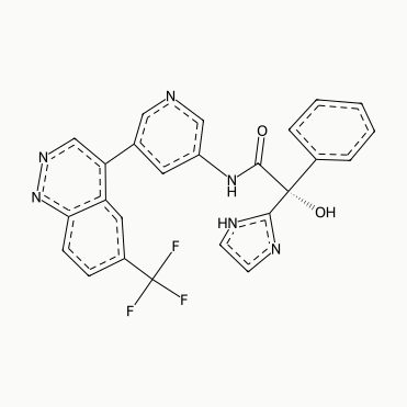 O=C(Nc1cncc(-c2cnnc3ccc(C(F)(F)F)cc23)c1)[C@@](O)(c1ccccc1)c1ncc[nH]1